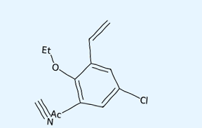 C#N.C=Cc1cc(Cl)cc(C(C)=O)c1OCC